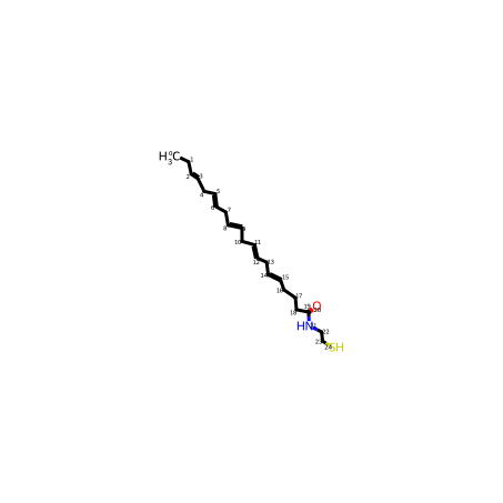 CCC=CCC=CCC=CCC=CCC=CCCCC(=O)NCCS